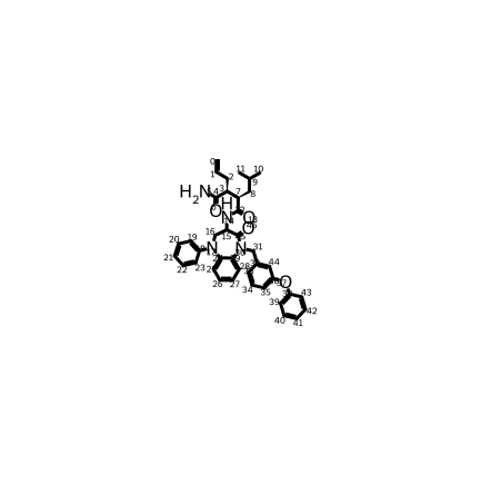 C=CC[C@H](C(N)=O)[C@@H](CC(C)C)C(=O)NC1CN(c2ccccc2)c2ccccc2N(Cc2cccc(Oc3ccccc3)c2)C1=O